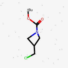 CC(C)(C)OC(=O)N1CC(CCl)C1